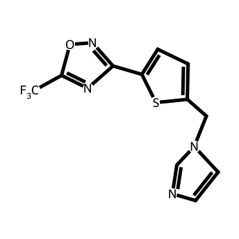 FC(F)(F)c1nc(-c2ccc(Cn3ccnc3)s2)no1